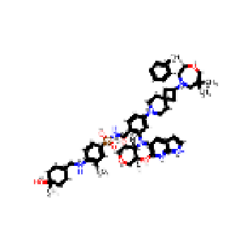 Cc1ccccc1[C@@H]1COCC(C)(C)CN1C1CC2(CCN(c3ccc(C(=O)NS(=O)(=O)c4ccc(NCC5CCC(C)(O)CC5)c([N+](=O)[O-])c4)c(N4c5cc6cc[nH]c6nc5O[C@H]5COCC[C@@H]54)c3)CC2)C1